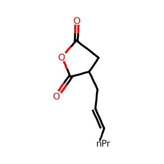 CCCC=CCC1CC(=O)OC1=O